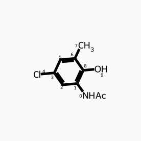 CC(=O)Nc1cc(Cl)cc(C)c1O